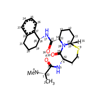 CN[C@@H](C)C(=O)N[C@H]1CCS[C@H]2CCC[C@@H](C(=O)N[C@@H]3CCCc4ccccc43)N2C1=O